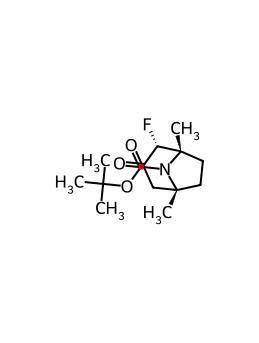 CC(C)(C)OC(=O)N1[C@]2(C)CC[C@@]1(C)[C@@H](F)C(=O)C2